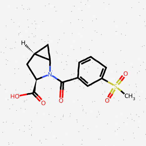 CS(=O)(=O)c1cccc(C(=O)N2C3C[C@@H]3C[C@@H]2C(=O)O)c1